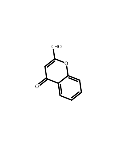 O=Cc1cc(=O)c2ccccc2o1